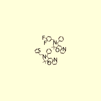 CC1(C)CN(CCc2cccs2)C(c2ccccc2)C(=Cc2ccccn2)C1=O.CC1(C)CN(Cc2ccc(F)c(F)c2)C(c2ccccc2)C(=Cc2ccccn2)C1=O